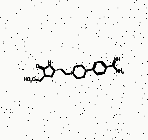 N=C(N)c1ccc(N2CCN(CC[C@@H]3C[C@@H](CC(=O)O)C(=O)N3)CC2)cc1